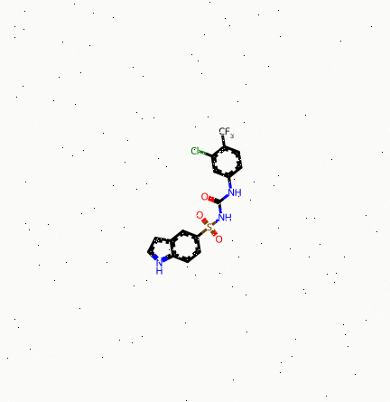 O=C(Nc1ccc(C(F)(F)F)c(Cl)c1)NS(=O)(=O)c1ccc2[nH]ccc2c1